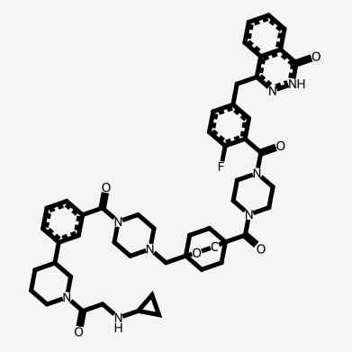 O=C(CNC1CC1)N1CCCC(c2cccc(C(=O)N3CCN(CC45CCC(C(=O)N6CCN(C(=O)c7cc(Cc8n[nH]c(=O)c9ccccc89)ccc7F)CC6)(CC4)CO5)CC3)c2)C1